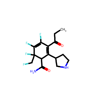 CCC(=O)C1=C(C2CCNC2)C(C(N)=O)C(F)(CF)C(F)=C1F